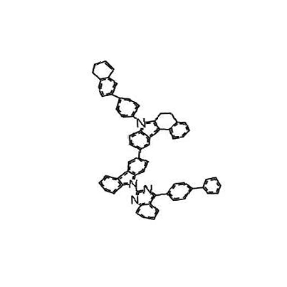 C1=Cc2cc(-c3ccc(-n4c5c(c6cc(-c7ccc8c(c7)c7ccccc7n8-c7nc(-c8ccc(-c9ccccc9)cc8)c8ccccc8n7)ccc64)-c4ccccc4CC5)cc3)ccc2CC1